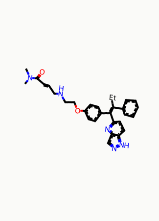 CCC(=C(c1ccc(OCCNCC=CC(=O)N(C)C)cc1)c1ccc2[nH]ncc2n1)c1ccccc1